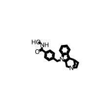 O=C(NO)c1ccc(Cn2c3c(c4ccccc42)C2CCN(C3)C2)cc1